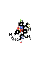 COC(=O)c1ccc(-c2cccc(-c3c(-c4ccsc4C#N)c4cc(F)ccc4n3S(=O)(=O)c3ccc(C)cc3)c2)c(C)n1